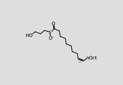 CCCCCCCC/C=C\CCCCCCCC(=O)[S+]([O-])CCCO